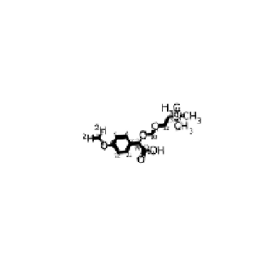 [2H]C([2H])Oc1ccc([C@@H](OCOCC[Si](C)(C)C)C(=O)O)cc1